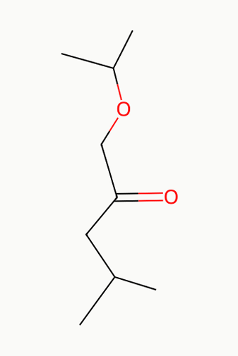 CC(C)CC(=O)COC(C)C